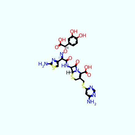 Nc1cc(SCC2=C(C(=O)O)N3C(=O)C(NC(=O)/C(=N\O[C@H](C(=O)O)c4ccc(O)c(O)c4)c4csc(N)n4)[C@@H]3SC2)ncn1